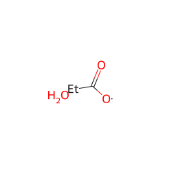 CCC([O])=O.O